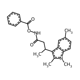 Cc1ccc2c(c1)c(C(C)CC(=O)NOC(=O)c1ccccc1)c(C)n2C